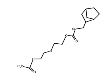 CC(=O)OCCOCCOC(=O)NCC1CC2CCC1C2